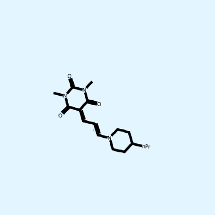 CCCC1CCN(/C=C/C=C2C(=O)N(C)C(=O)N(C)C2=O)CC1